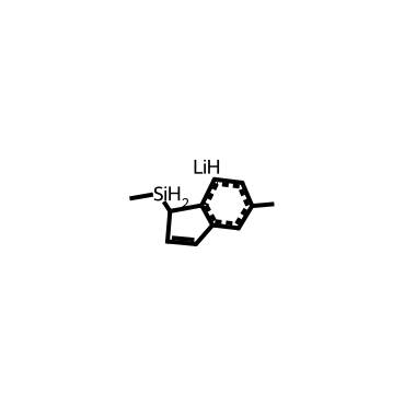 C[SiH2]C1C=Cc2cc(C)ccc21.[LiH]